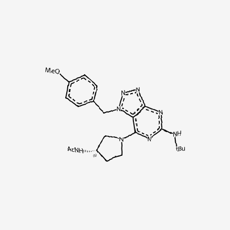 COc1ccc(Cn2nnc3nc(NC(C)(C)C)nc(N4CC[C@H](NC(C)=O)C4)c32)cc1